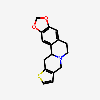 c1cc2c(s1)CC1c3cc4c(cc3CCN1C2)OCO4